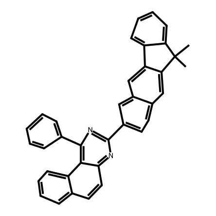 CC1(C)c2ccccc2-c2cc3cc(-c4nc(-c5ccccc5)c5c(ccc6ccccc65)n4)ccc3cc21